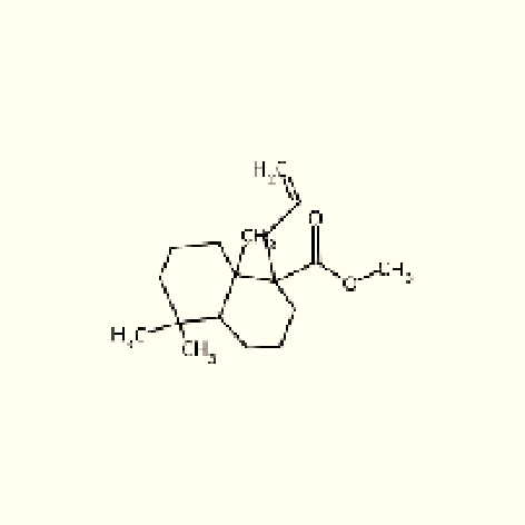 C=CCC1(C(=O)OC)CCCC2C(C)(C)CCCC21C